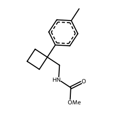 COC(=O)NCC1(c2ccc(C)cc2)CCC1